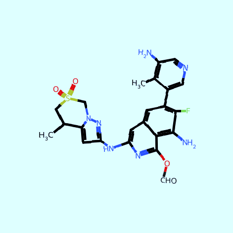 Cc1c(N)cncc1-c1cc2cc(Nc3cc4n(n3)CS(=O)(=O)CC4C)nc(OC=O)c2c(N)c1F